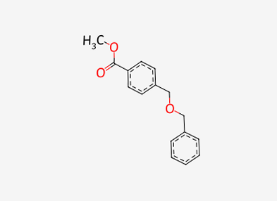 COC(=O)c1ccc(COCc2ccccc2)cc1